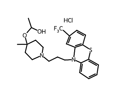 CC(O)OC1(C)CCN(CCCN2c3ccccc3Sc3ccc(C(F)(F)F)cc32)CC1.Cl